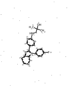 CC(C)(O)CNc1ncc(-c2nc3ccncc3n2-c2ccc(F)cc2)cn1